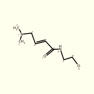 CN(C)CC=CC(=O)NCC[O]